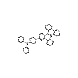 c1ccc(N(c2ccccc2)c2ccc(-c3ccc4c(c3)-c3ccccc3B3c5ccccc5-c5ccccc5N34)cc2)cc1